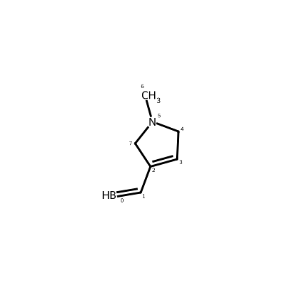 B=CC1=CCN(C)C1